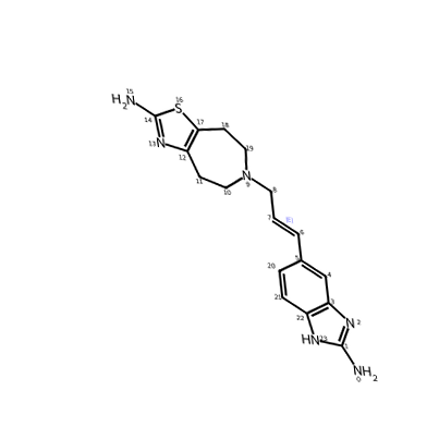 Nc1nc2cc(/C=C/CN3CCc4nc(N)sc4CC3)ccc2[nH]1